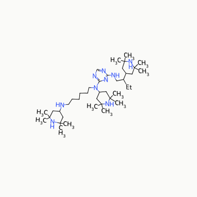 CCC(CNc1ncnc(N(CCCCCCNC2CC(C)(C)NC(C)(C)C2)C2CC(C)(C)NC(C)(C)C2)n1)C1CC(C)(C)NC(C)(C)C1